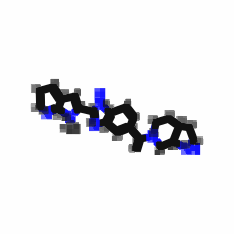 C=C(c1ccc2[nH]c(-c3cc4cccnc4n3CC)nc2c1)N1CCC2CCNC2C1